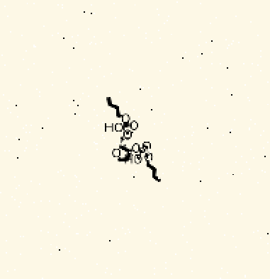 CCCCOP(=O)(O)OC[C@H]1OCC[C@@H]1OP(=O)(O)OCCCC